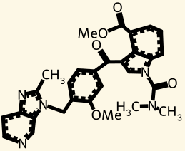 COC(=O)c1cccc2c1c(C(=O)c1ccc(Cn3c(C)nc4ccncc43)c(OC)c1)cn2C(=O)N(C)C